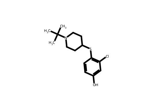 CC(C)(C)N1CCC(Sc2ccc(O)cc2Cl)CC1